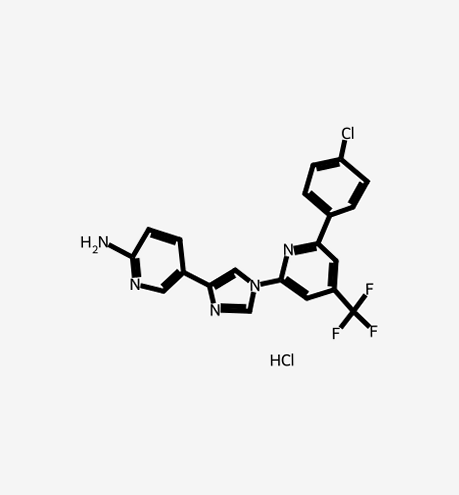 Cl.Nc1ccc(-c2cn(-c3cc(C(F)(F)F)cc(-c4ccc(Cl)cc4)n3)cn2)cn1